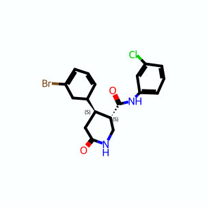 O=C1C[C@@H](C2C=CC=C(Br)C2)[C@H](C(=O)Nc2cccc(Cl)c2)CN1